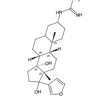 C[C@]12CCC(NC(=N)N)CC1CC[C@@H]1[C@H]2CC[C@]2(C)C(O)(c3ccoc3)CC[C@@]12O